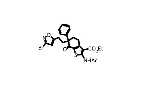 CCOC(=O)c1c(NC(C)=O)sc2c1CCC(CCc1cc(Br)no1)(c1ccccc1)C2=O